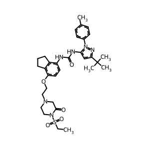 CCS(=O)(=O)N1CCN(CCOc2ccc(NC(=O)Nc3cc(C(C)(C)C)nn3-c3ccc(C)cc3)c3c2CCC3)CC1=O